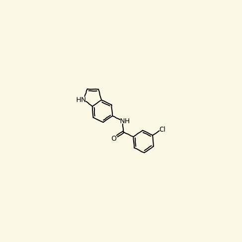 O=C(Nc1ccc2[nH]ccc2c1)c1cccc(Cl)c1